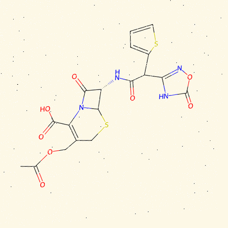 CC(=O)OCC1=C(C(=O)O)N2C(=O)[C@H](NC(=O)C(c3noc(=O)[nH]3)c3cccs3)C2SC1